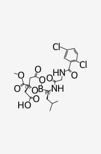 COC(=O)[C@]1(CC(=O)O)CC(=O)OB([C@H](CC(C)C)NC(=O)CNC(=O)c2cc(Cl)ccc2Cl)O1